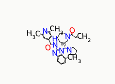 C=CC(=O)N1CCCC[C@@H](C(N2CCCC2)n2c(NC(=O)c3cc(C)nc(C)c3)nc3cccc(C)c32)C1